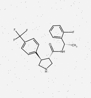 C[C@H](NC(=O)[C@@H]1CNC[C@H]1c1ccc(C(F)(F)F)cc1)c1ccccc1F